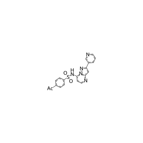 CC(=O)c1ccc(S(=O)(=O)Nc2ccnc3cc(-c4cccnc4)nn23)cc1